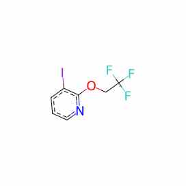 FC(F)(F)COc1ncccc1I